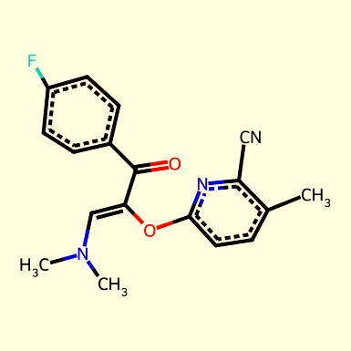 Cc1ccc(OC(=CN(C)C)C(=O)c2ccc(F)cc2)nc1C#N